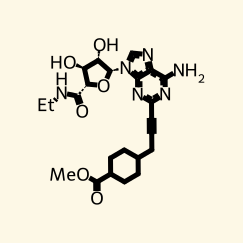 CCNC(=O)[C@H]1O[C@@H](n2cnc3c(N)nc(C#CCC4CCC(C(=O)OC)CC4)nc32)[C@@H](O)[C@@H]1O